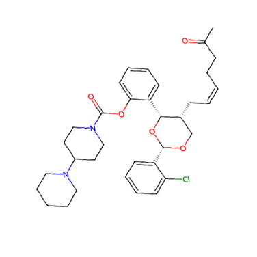 CC(=O)CC/C=C\C[C@@H]1CO[C@H](c2ccccc2Cl)O[C@@H]1c1ccccc1OC(=O)N1CCC(N2CCCCC2)CC1